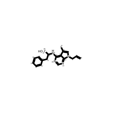 C=CCn1cc(I)c2c(NC(Cc3ccccc3)C(=O)O)ncnc21